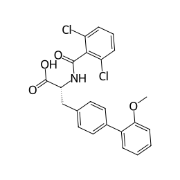 COc1ccccc1-c1ccc(C[C@@H](NC(=O)c2c(Cl)cccc2Cl)C(=O)O)cc1